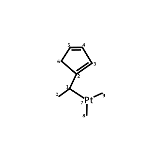 C[CH](C1=CC=CC1)[Pt]([CH3])[CH3]